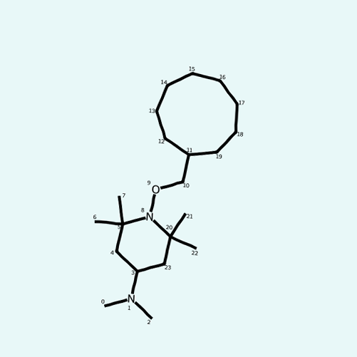 CN(C)C1CC(C)(C)N(OCC2CCCCCCCC2)C(C)(C)C1